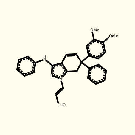 COc1ccc(C2(c3ccccc3)C=Cc3c(Nc4ccccc4)nn(C=CC=O)c3C2)cc1OC